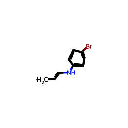 [CH2]C=CNc1ccc(Br)cc1